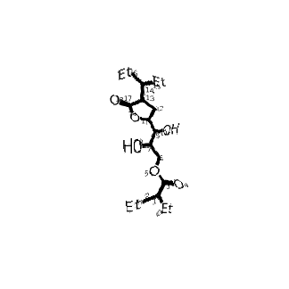 CCC(CC)C(=O)OCC(O)C(O)C1CC(C(CC)CC)C(=O)O1